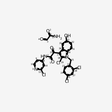 NC(=O)C=O.O=C(Nc1ccnc(Cl)c1)C(=O)c1c(Cl)n(Cc2ccc(Cl)cc2Cl)c2ccc(O)cc12